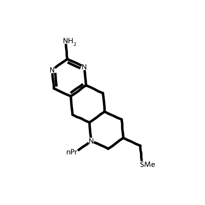 CCCN1CC(CSC)CC2Cc3nc(N)ncc3CC21